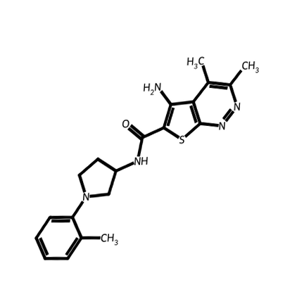 Cc1ccccc1N1CCC(NC(=O)c2sc3nnc(C)c(C)c3c2N)C1